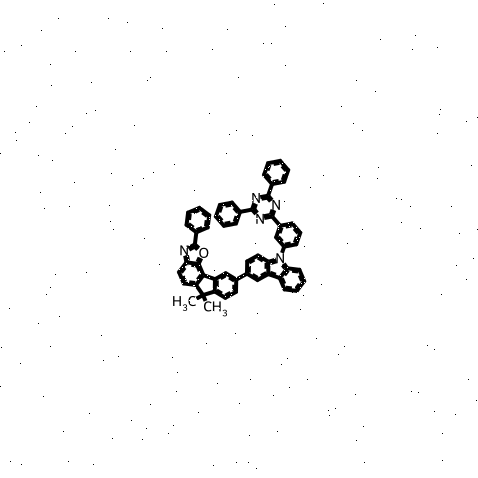 CC1(C)c2ccc(-c3ccc4c(c3)c3ccccc3n4-c3cccc(-c4nc(-c5ccccc5)nc(-c5ccccc5)n4)c3)cc2-c2c1ccc1nc(-c3ccccc3)oc21